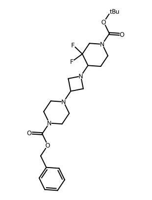 CC(C)(C)OC(=O)N1CCC(N2CC(N3CCN(C(=O)OCc4ccccc4)CC3)C2)C(F)(F)C1